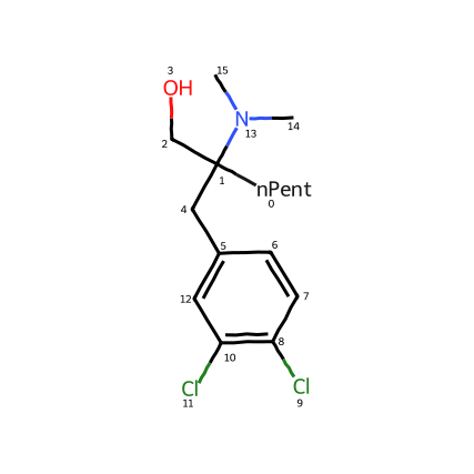 CCCCCC(CO)(Cc1ccc(Cl)c(Cl)c1)N(C)C